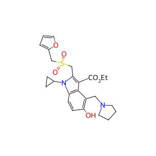 CCOC(=O)c1c(CS(=O)(=O)Cc2ccco2)n(C2CC2)c2ccc(O)c(CN3CCCC3)c12